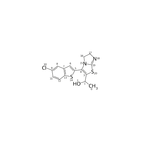 CC(O)C1=C(c2cc3cc(Cl)ccc3s2)N2CCN=C2S1